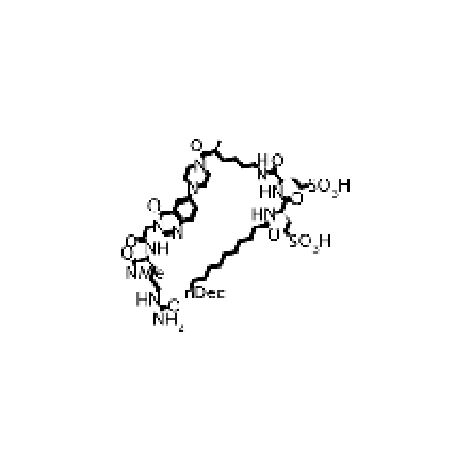 CCCCCCCCCCCCCCCCCCCC(=O)N[C@@H](CCS(=O)(=O)O)C(=O)N[C@@H](CCS(=O)(=O)O)C(=O)NCCCC[C@H](C)C(=O)N1CCN(c2ccc3ncn(CC(=O)N[C@@H](CCCNC(N)=O)C(=O)NC)c(=O)c3c2)CC1